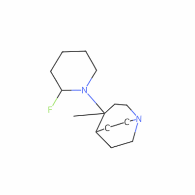 CC1(N2CCCCC2F)CCN2CCC1CC2